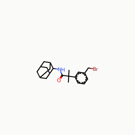 CC(C)(C(=O)NC1C2CC3CC(C2)CC1C3)c1cccc(CBr)c1